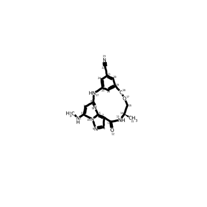 CNc1cc2nc3c(cnn13)C(=O)N[C@H](C)COCc1cc(C#N)cc(c1)N2